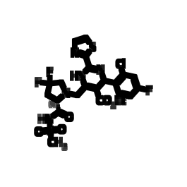 CCOC(=O)C1=C(CN2CC(F)(F)C[C@H]2C(=O)NS(C)(=O)=O)NC(c2nccs2)=NC1c1ccc(F)cc1Cl